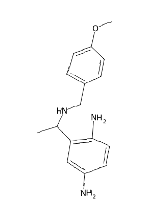 COc1ccc(CNC(C)c2cc(N)ccc2N)cc1